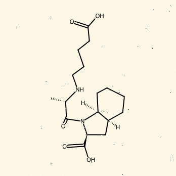 C[C@H](NCCCCC(=O)O)C(=O)N1[C@H](C(=O)O)C[C@@H]2CCCC[C@@H]21